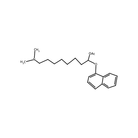 CC(=O)OC(CCCCCCCN(C)C)Oc1cccc2ccccc12